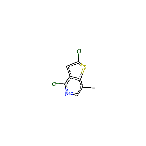 Cc1cnc(Cl)c2cc(Cl)sc12